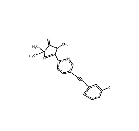 CN1C(=O)C(C)(C)N=C1c1ccc(C#Cc2cccc(Cl)c2)cn1